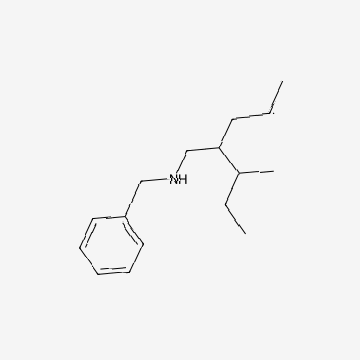 C[CH]CC(CNCc1ccccc1)C(C)CC